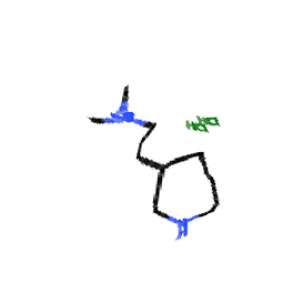 CN(C)CCC1CCCNC1.Cl.Cl